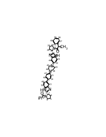 CC(C)C(=O)N1CCC[C@H]1c1nc2cc(-c3ccc(N4CCN(c5ccc6[nH]c([C@@H]7CCCN7C(=O)[C@H](C)c7ccccc7)nc6c5)CC4)cc3)ccc2[nH]1